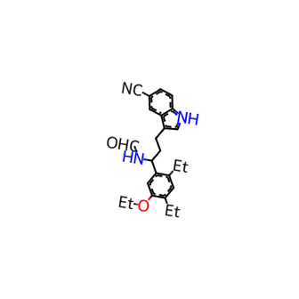 CCOc1cc(C(CCc2c[nH]c3ccc(C#N)cc23)NC=O)c(CC)cc1CC